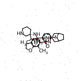 Cc1c(C(=O)NC2CC3CCC(C2)N3c2ccc(C(=O)N[C@@]3(C(C)C)CCCNC3)cn2)ccc2c1OCC2